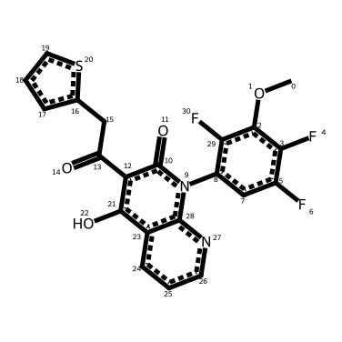 COc1c(F)c(F)cc(-n2c(=O)c(C(=O)Cc3cccs3)c(O)c3cccnc32)c1F